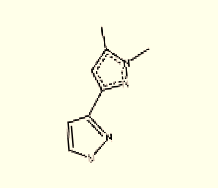 Cc1cc(C2=N[N]C=C2)nn1C